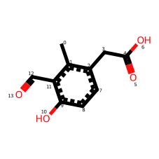 Cc1c(CC(=O)O)ccc(O)c1C=O